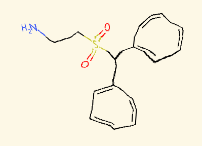 NCCS(=O)(=O)C(c1ccccc1)c1ccccc1